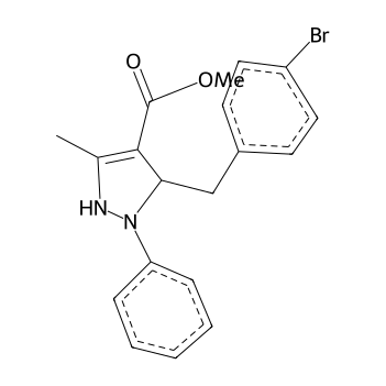 COC(=O)C1=C(C)NN(c2ccccc2)C1Cc1ccc(Br)cc1